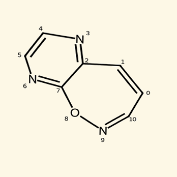 C1=Cc2nccnc2ON=C1